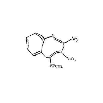 CCCCCc1c([N+](=O)[O-])c(N)nc2ccccc12